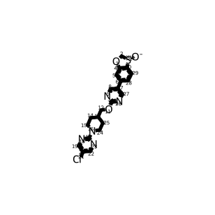 [O-][S@@+]1COc2cc(-c3cnc(OCC4CCN(c5ncc(Cl)cn5)CC4)nc3)ccc21